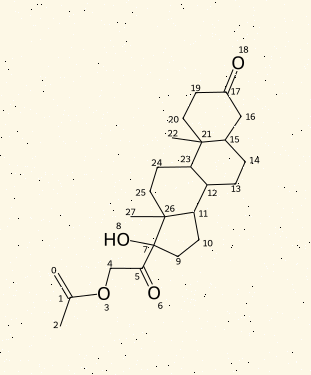 C=C(C)OCC(=O)C1(O)CCC2C3CCC4CC(=O)CCC4(C)C3CCC21C